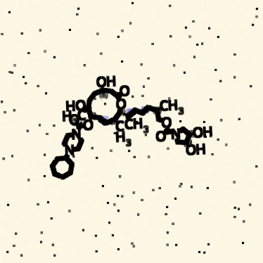 C/C(=C\C=C\[C@@H](C)COC(=O)N1C[C@@H](O)[C@@H](O)C1)[C@H]1OC(=O)C[C@@H](O)CC[C@](C)(O)[C@@H](OC(=O)N2CCN(C3CCCCCC3)CC2)/C=C/[C@@H]1C